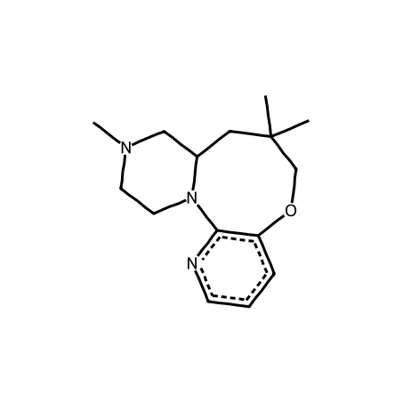 CN1CCN2c3ncccc3OCC(C)(C)CC2C1